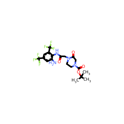 CC(C)(C)OC(=O)N1CCN(CC(=O)Nc2c(N)cc(C(F)(F)F)cc2C(F)(F)F)C(=O)C1